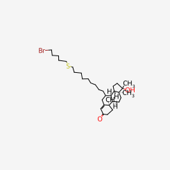 CC1(O)CC[C@H]2[C@@H]3C(CCCCCCCCCSCCCCCBr)CC4=CC(=O)CC[C@]4(C)[C@@H]3CC[C@@]21C